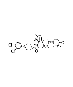 C=C(C)[C@@H]1CC[C@]2(C(=O)N3CCN(c4ccc(Cl)c(Cl)c4)CC3)CC[C@]3(C)C(CC[C@@H]4[C@@]5(C)CCC(=O)C(C)(C)C5CC[C@]43C)[C@@H]12